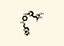 O=C1NC(O)S/C1=C\c1ccnc(N[C@H]2CC[C@H](NCCc3ccn4ncnc4n3)CC2)n1